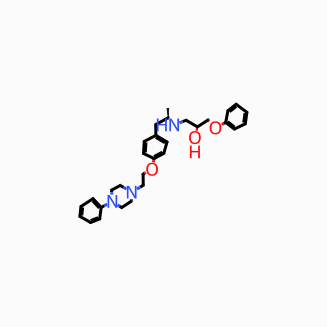 C[C@H](Cc1ccc(OCCN2CCN(c3ccccc3)CC2)cc1)NC[C@H](O)COc1ccccc1